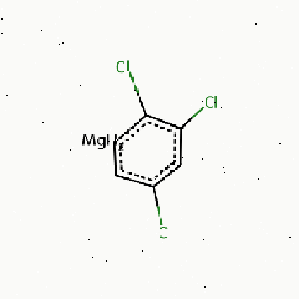 Clc1ccc(Cl)c(Cl)c1.[MgH2]